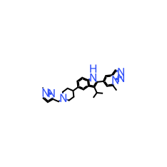 Cc1cc(-c2[nH]c3ccc(C4CCN(Cc5ccn(C)n5)CC4)cc3c2C(C)C)cc2cnnn12